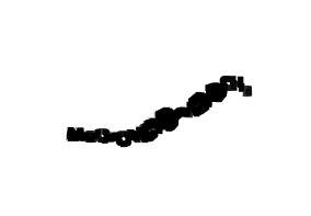 COCCOCCN1CCN(c2ccc(CCN3CCN(c4ccc(C)cc4)CC3)cc2)CC1